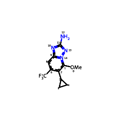 COc1c(C2CC2)c(C(F)(F)F)cc2nc(N)nn12